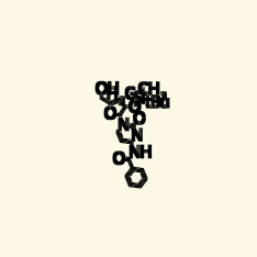 CC(C)(C)[Si](C)(C)O[C@@H]1C=C(CO)O[C@H]1n1ccc(NC(=O)c2ccccc2)nc1=O